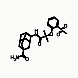 CC(C)(Oc1ccccc1S(C)(=O)=O)C(=O)NC1C2CC3CC1CC(C(N)=O)(C3)C2